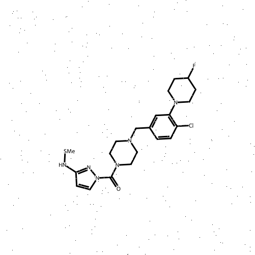 CSNc1ccn(C(=O)N2CCN(Cc3ccc(Cl)c(N4CCC(F)CC4)c3)CC2)n1